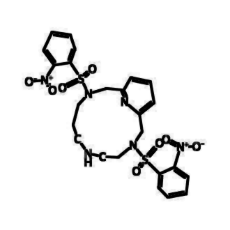 O=[N+]([O-])c1ccccc1S(=O)(=O)N1CCCNCCN(S(=O)(=O)c2ccccc2[N+](=O)[O-])Cc2cccc(n2)C1